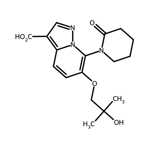 CC(C)(O)COc1ccc2c(C(=O)O)cnn2c1N1CCCCC1=O